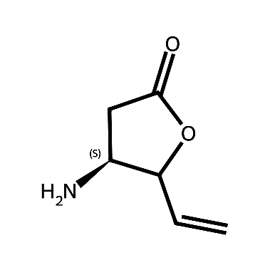 C=CC1OC(=O)C[C@@H]1N